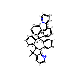 CC1(C)c2cccnc2C2c3ccccc3C(c3ccccc3)(c3cccc(-c4ccccn4)c3)c3ccccc3C21